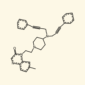 Cc1ccc2ncc(=O)n(CCN3CCC(N(CC#Cc4ccccc4)CC#Cc4ccccc4)CC3)c2c1